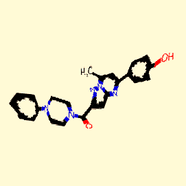 Cc1cc(-c2ccc(O)cc2)nc2cc(C(=O)N3CCN(c4ccccc4)CC3)nn12